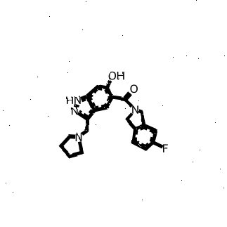 O=C(c1cc2c(CN3CCCC3)n[nH]c2cc1O)N1Cc2ccc(F)cc2C1